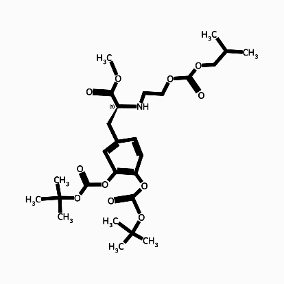 COC(=O)[C@H](Cc1ccc(OC(=O)OC(C)(C)C)c(OC(=O)OC(C)(C)C)c1)NCCOC(=O)OCC(C)C